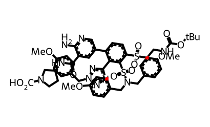 COc1ccc(CN(Cc2ccc(OC)cc2)S(=O)(=O)c2c(S(=O)(=O)CCNC(=O)OC(C)(C)C)ccc(-c3cnc(N)c(C(=O)N[C@H]4CCN(C(=O)O)C4)c3)c2-c2nnn(Cc3ccc(OC)cc3)n2)cc1